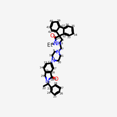 CCNC(=O)C1(CCCN2CCN(c3ccc4c(c3)C(=O)N(C(C)c3ccccc3)C4)CC2)c2ccccc2-c2ccccc21